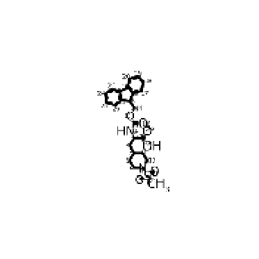 CS(=O)(=O)N1CCC(CC(NC(=O)OCC2c3ccccc3-c3ccccc32)C(=O)O)CC1